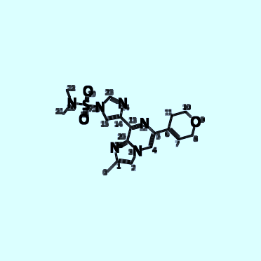 Cc1cn2cc(C3=CCOCC3)nc(-c3cn(S(=O)(=O)N(C)C)cn3)c2n1